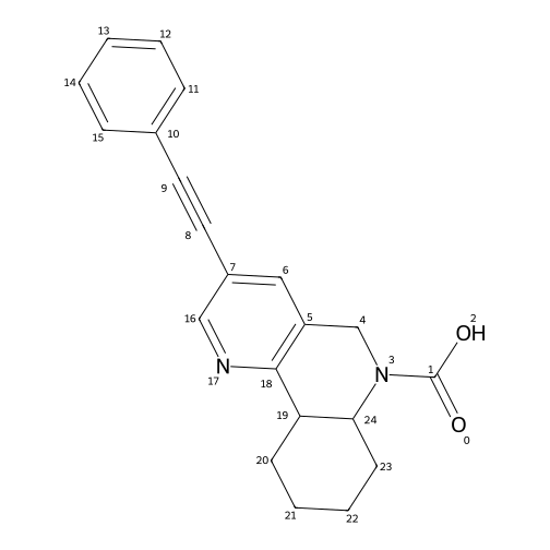 O=C(O)N1Cc2cc(C#Cc3ccccc3)cnc2C2CCCCC21